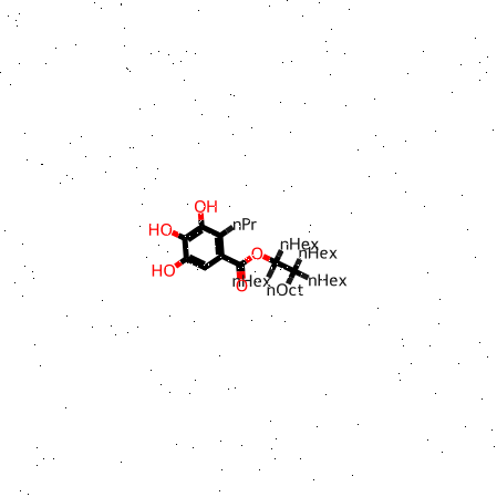 CCCCCCCCC(CCCCCC)(CCCCCC)C(CCCCCC)(CCCCCC)OC(=O)c1cc(O)c(O)c(O)c1CCC